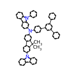 CC1(C)c2cc(N(c3ccc(-c4cc(-c5ccccc5)cc(-c5ccccc5)c4)cc3)c3ccc4c5ccccc5n(-c5ccccc5)c4c3)ccc2-c2ccc(-n3c4ccccc4c4ccccc43)cc21